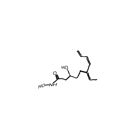 C=C/C=C\C(=C/C)CCC(O)CC(=O)NO